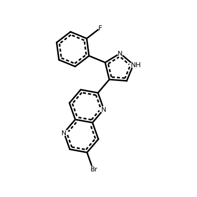 Fc1ccccc1-c1n[nH]cc1-c1ccc2ncc(Br)cc2n1